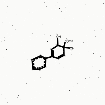 CCCCCC1(O)C=CC(c2ccccc2)=CC1O